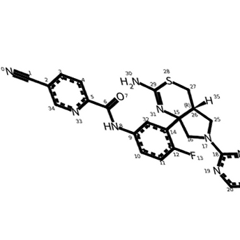 N#Cc1ccc(C(=O)Nc2ccc(F)c(C34CN(c5ncc(F)cn5)C[C@H]3CSC(N)=N4)c2)nc1